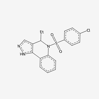 CCC1c2cn[nH]c2-c2ccccc2N1S(=O)(=O)c1ccc(Cl)cc1